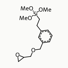 CO[Si](CCc1cccc(COCC2CO2)c1)(OC)OC